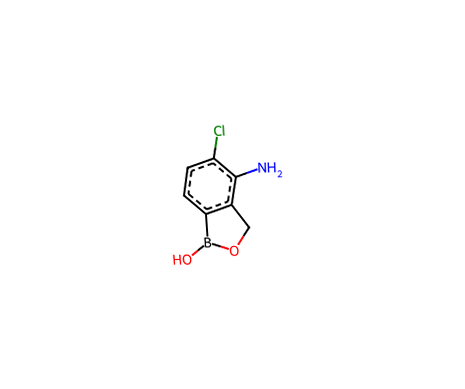 Nc1c(Cl)ccc2c1COB2O